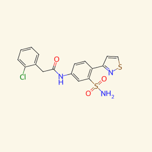 NS(=O)(=O)c1cc(NC(=O)Cc2ccccc2Cl)ccc1-c1ccsn1